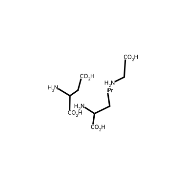 CC(C)CC(N)C(=O)O.NC(CC(=O)O)C(=O)O.NCC(=O)O